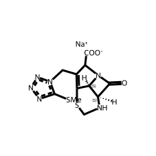 CSc1nnnn1CC1=C2SCN[C@@H]3C(=O)N(C1C(=O)[O-])[C@H]23.[Na+]